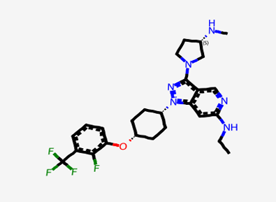 CCNc1cc2c(cn1)c(N1CC[C@H](NC)C1)nn2[C@H]1CC[C@@H](Oc2cccc(C(F)(F)F)c2F)CC1